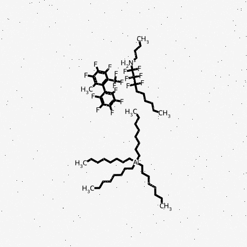 CCCCCCC(F)(F)C(F)(F)C(F)(F)[NH2+]CCCC.CCCCCCC[CH2][Al-]([CH2]CCCCCCC)([CH2]CCCCCCC)[CH2]CCCCCCC.Cc1c(F)c(F)c(F)c(C(F)(F)F)c1-c1c(F)c(F)c(F)c(F)c1F